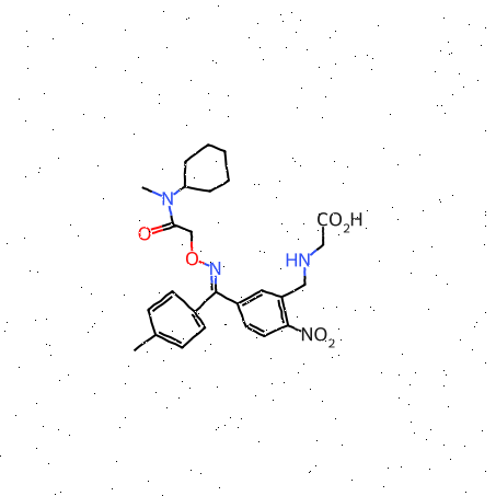 Cc1ccc(/C(=N\OCC(=O)N(C)C2CCCCC2)c2ccc([N+](=O)[O-])c(CNCC(=O)O)c2)cc1